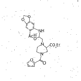 CCOC(=O)C1CN(C(=O)c2ccco2)CCN1CC(O)Nc1cc2c(cc1C(C)=O)OCO2